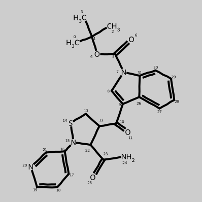 CC(C)(C)OC(=O)n1cc(C(=O)C2CSN(c3cccnc3)C2C(N)=O)c2ccccc21